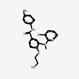 CN(c1cc(C(=O)Nc2ccc(C(C)(C)C)cc2)ccc1OCCO)c1ncccc1Cl